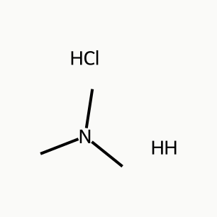 CN(C)C.Cl.[HH]